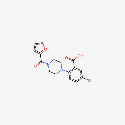 O=C(O)c1cc(Cl)ccc1N1CCN(C(=O)c2ccco2)CC1